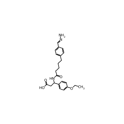 CCOc1ccc(C(CC(=O)O)NC(=O)CCCCc2ccc(C=NN)cc2)cc1